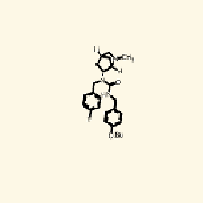 CC(C)COc1ccc(CNC(=O)N(Cc2ccc(F)cc2)[C@@H]2C[C@H]3C[C@@H]2N(C)C3)cc1